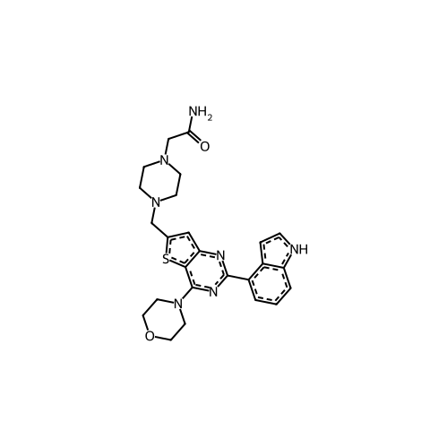 NC(=O)CN1CCN(Cc2cc3nc(-c4cccc5[nH]ccc45)nc(N4CCOCC4)c3s2)CC1